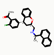 COC(=O)c1cc([C@H]2C[C@H](CN[C@H](C)c3cccc4ccccc34)Oc3ccccc32)ccc1F